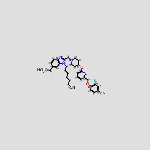 N#CCCCCCCn1c(CN2CCC(Oc3cccc(COc4ccc(C#N)cc4F)n3)CC2)nc2ccc(CC(=O)O)cc21